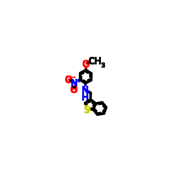 COc1ccc(NCc2csc3ccccc23)c([N+](=O)[O-])c1